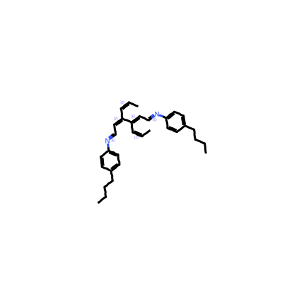 C\C=C/C(=C/C=N/c1ccc(CCCC)cc1)C(/C=C\C)=C/C=N/c1ccc(CCCC)cc1